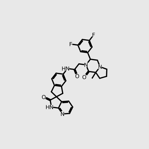 CC12CCCN1CC(c1cc(F)cc(F)c1)N(CC(=O)Nc1ccc3c(c1)CC1(C3)C(=O)Nc3ncccc31)C2=O